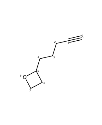 [C]#CCCCC1CCO1